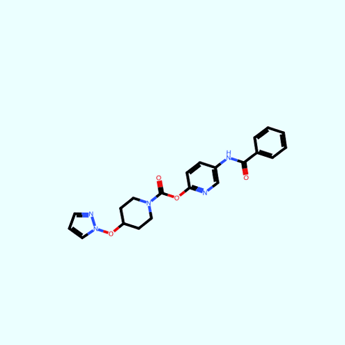 O=C(Nc1ccc(OC(=O)N2CCC(On3cccn3)CC2)nc1)c1ccccc1